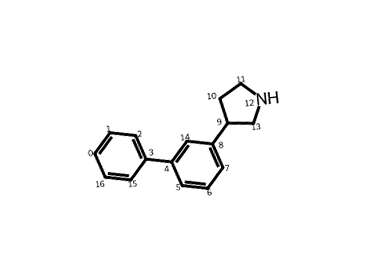 c1ccc(-c2cccc(C3CCNC3)c2)cc1